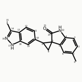 Cc1ccc2c(c1)C1(CC1c1ccc3c(I)n[nH]c3c1)C(=O)N2